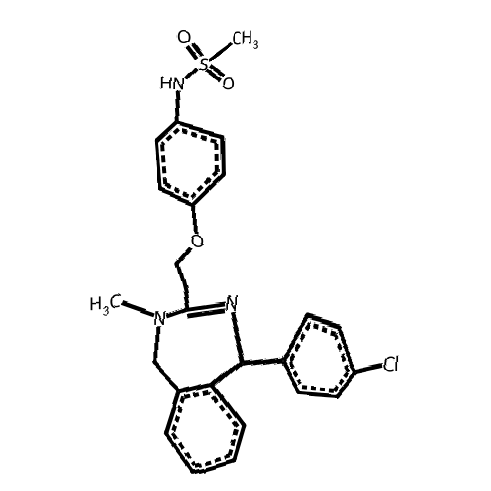 CN1Cc2ccccc2C(c2ccc(Cl)cc2)N=C1COc1ccc(NS(C)(=O)=O)cc1